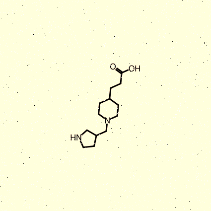 O=C(O)CCC1CCN(CC2CCNC2)CC1